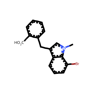 Cn1cc(Cc2ccccc2C(=O)O)c2cccc(Br)c21